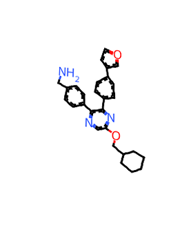 NCc1ccc(-c2ncc(OCC3CCCCC3)nc2-c2ccc(-c3ccoc3)cc2)cc1